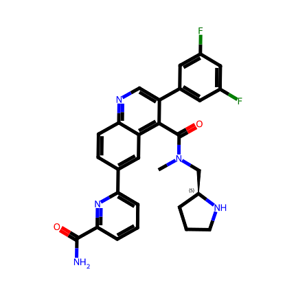 CN(C[C@@H]1CCCN1)C(=O)c1c(-c2cc(F)cc(F)c2)cnc2ccc(-c3cccc(C(N)=O)n3)cc12